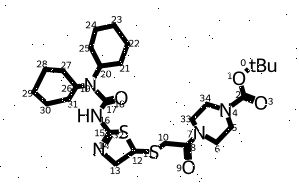 CC(C)(C)OC(=O)N1CCN(C(=O)CSC2CN=C(NC(=O)N(C3CCCCC3)C3CCCCC3)S2)CC1